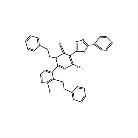 Cc1nc(-c2cccc(F)c2OCc2ccccc2)n(CCc2ccccc2)c(=O)c1-c1cnc(-c2ccccc2)s1